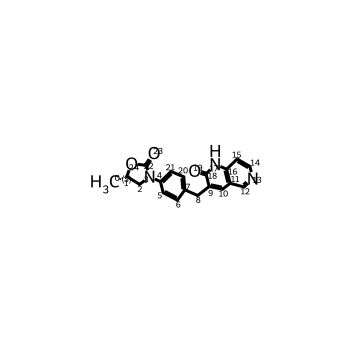 C[C@H]1CN(c2ccc(Cc3cc4cnccc4[nH]c3=O)cc2)C(=O)O1